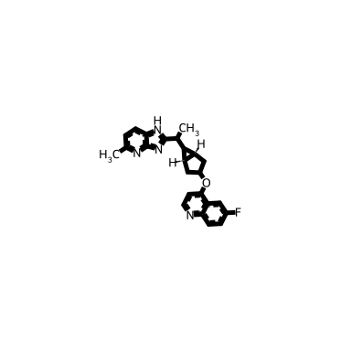 Cc1ccc2[nH]c(C(C)C3[C@H]4CC(Oc5ccnc6ccc(F)cc56)C[C@@H]34)nc2n1